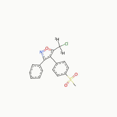 [2H]C([2H])(Cl)c1onc(-c2ccccc2)c1-c1ccc(S(C)(=O)=O)cc1